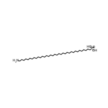 NCCCCCCCCCCCCCCCCCCCCCCCCCCCCCCCCCCCP(=O)(O)O